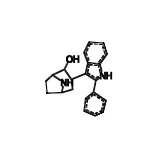 OC1C2CCC(CC1c1c(-c3ccccc3)[nH]c3ccccc13)N2